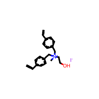 C=Cc1ccc(C[N+](C)(CCO)Cc2ccc(C=C)cc2)cc1.[I-]